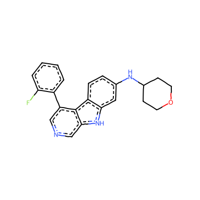 Fc1ccccc1-c1cncc2[nH]c3cc(NC4CCOCC4)ccc3c12